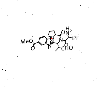 COC(=O)c1ccc2oc(C(C(C)C=O)N(C(=O)[C@@H]3CCCN3)C(=O)[C@@H](N)C(C)C)nc2c1